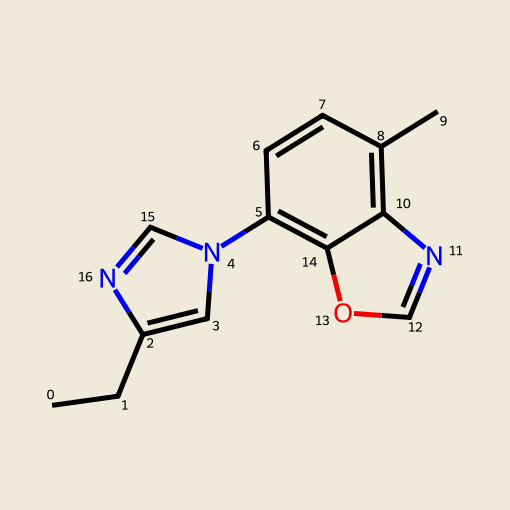 CCc1cn(-c2ccc(C)c3ncoc23)cn1